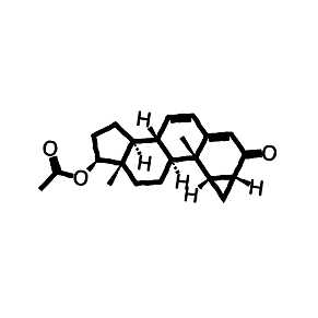 CC(=O)O[C@H]1CC[C@H]2[C@@H]3C=CC4=CC(=O)[C@@H]5C[C@@H]5[C@]4(C)[C@H]3CC[C@]12C